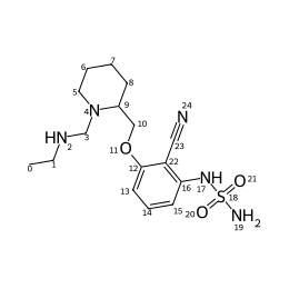 CCNCN1CCCCC1COc1cccc(NS(N)(=O)=O)c1C#N